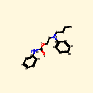 CCCCN(CCOC(=O)Nc1ccccc1)c1ccccc1